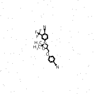 CC1(C)OC(COc2ccc(C#N)cc2)CN1c1ccc(C#N)c(C(F)(F)F)c1